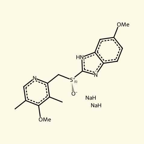 COc1ccc2nc([S@+]([O-])Cc3ncc(C)c(OC)c3C)[nH]c2c1.[NaH].[NaH]